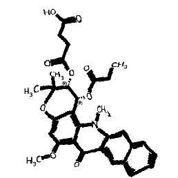 CCC(=O)O[C@@H]1c2c(cc(OC)c3c(=O)c4cc5ccccc5cc4n(C)c23)OC(C)(C)[C@@H]1OC(=O)CCC(=O)O